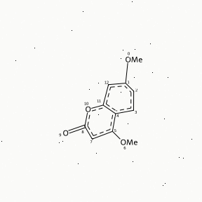 COc1ccc2c(OC)cc(=O)oc2c1